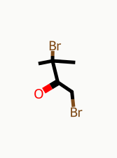 CC(C)(Br)C(=O)CBr